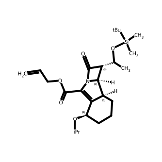 C=CCOC(=O)C1=C2[C@H](OC(C)C)CCC[C@@H]2[C@@H]2[C@@H](C(C)O[Si](C)(C)C(C)(C)C)C(=O)N12